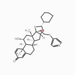 C[C@]12C=CC(=O)C=C1CC[C@@H]1[C@@H]2[C@@H](O)C[C@@]2(C)[C@H]1C[C@H]1O[C@@H](C3CCCCC3)O[C@]12C(=O)CSc1ccncc1